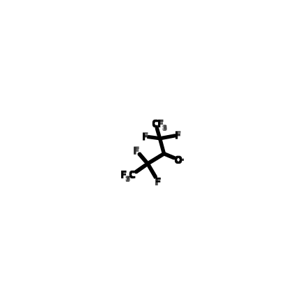 [O]C(C(F)(F)C(F)(F)F)C(F)(F)C(F)(F)F